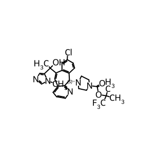 Cn1cncc1C(C)(O)C1=Cc2cccnc2[C@@H](N2CCN(C(=O)OC(C)(C)C(F)(F)F)CC2)c2ccc(Cl)cc21